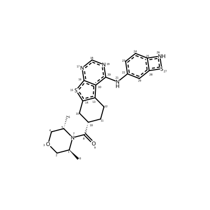 C[C@H]1COC[C@H](C)N1C(=O)[C@H]1CCc2c(sc3ncnc(Nc4ccc5[nH]sc5c4)c23)C1